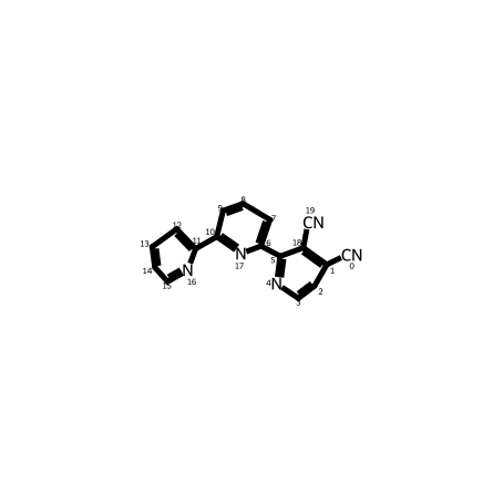 N#Cc1ccnc(-c2cccc(-c3ccccn3)n2)c1C#N